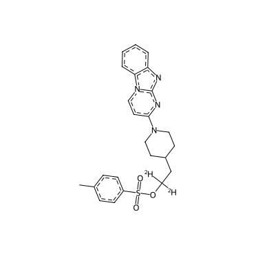 [2H]C([2H])(CC1CCN(c2ccn3c(n2)nc2ccccc23)CC1)OS(=O)(=O)c1ccc(C)cc1